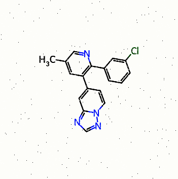 Cc1cnc(-c2cccc(Cl)c2)c(-c2ccn3ncnc3c2)c1